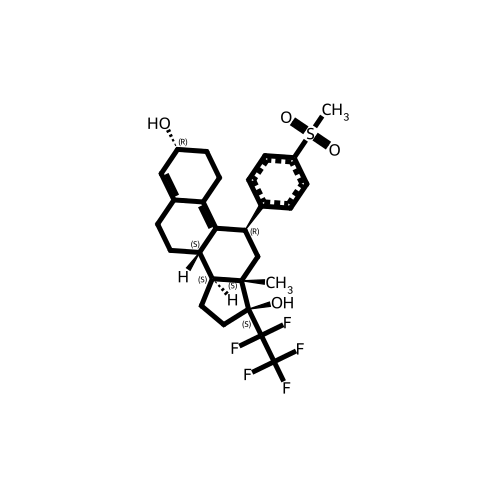 C[C@]12C[C@H](c3ccc(S(C)(=O)=O)cc3)C3=C4CC[C@@H](O)C=C4CC[C@H]3[C@@H]1CC[C@@]2(O)C(F)(F)C(F)(F)F